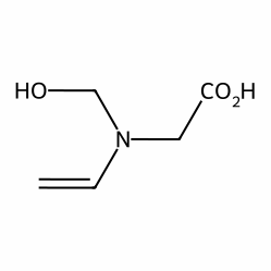 C=CN(CO)CC(=O)O